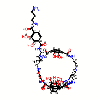 NCCCNC(=O)c1ccc(C(=O)NCC[C@H]2CN3CCNC(=O)c4ccc(c(O)c4O)C(=O)NCCN(CCNC(=O)c4ccc(c(O)c4O)C(=O)NCC3)CCNC(=O)c3ccc(c(O)c3O)C(=O)N2)c(O)c1O